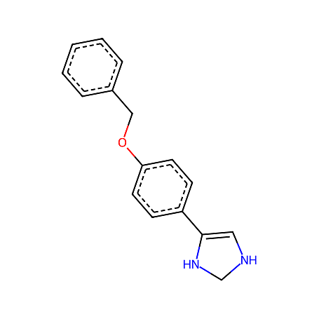 C1=C(c2ccc(OCc3ccccc3)cc2)NCN1